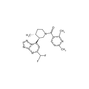 Cc1ccc(C(=O)N2CC[C@@H](C)[C@H](c3cc(C(F)F)nc4ncnn34)C2)c(C)n1